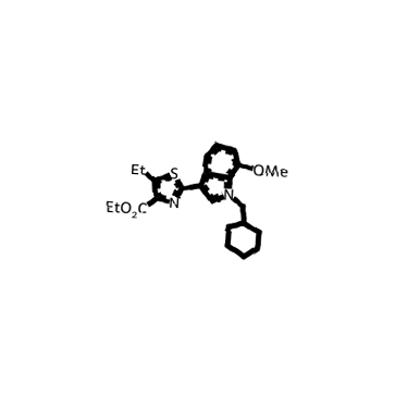 CCOC(=O)c1nc(-c2cn(CC3CCCCC3)c3c(OC)cccc23)sc1CC